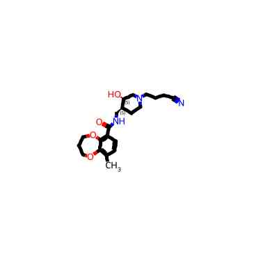 Cc1ccc(C(=O)NC[C@@H]2CCN(CCCC#N)C[C@H]2O)c2c1OCCCO2